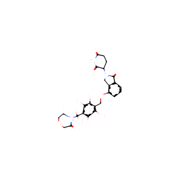 Bc1c(B)c(C(B)(B)N2CCOCC2=O)c(B)c(B)c1COc1cccc2c1CN(C1CCC(=O)NC1=O)C2=O